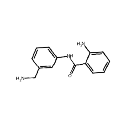 NCc1cccc(NC(=O)c2ccccc2N)c1